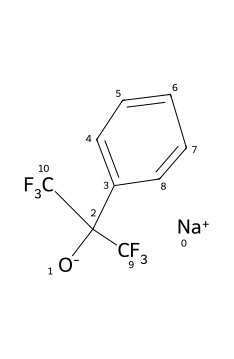 [Na+].[O-]C(c1ccccc1)(C(F)(F)F)C(F)(F)F